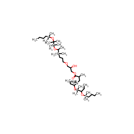 CCCC[Si](C)(C)OC(CC)[Si](C)(C)OC(CC)[Si](C)(C)CC(C)C(=O)OCC(O)COCCC[Si](C)(C)C(C)O[Si](C)(C)C(C)(C)O[Si](C)(C)CCCC